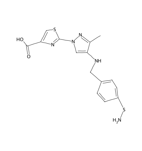 Cc1nn(-c2nc(C(=O)O)cs2)cc1NCc1ccc(SN)cc1